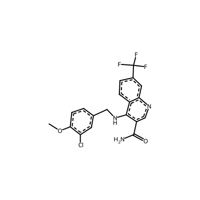 COc1ccc(CNc2c(C(N)=O)cnc3cc(C(F)(F)F)ccc23)cc1Cl